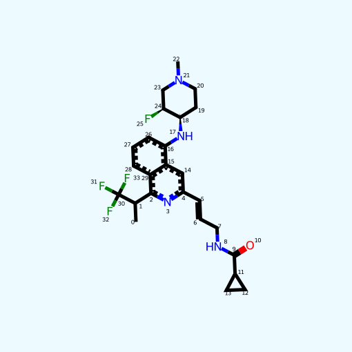 CC(c1nc(/C=C/CNC(=O)C2CC2)cc2c(N[C@@H]3CCN(C)C[C@@H]3F)cccc12)C(F)(F)F